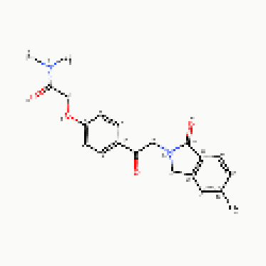 CCN(CC)C(=O)COc1ccc(C(=O)CN2Cc3cc(C#N)ccc3C2=O)cc1